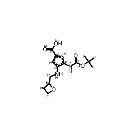 CC(C)(C)OC(=O)Nc1sc(C(=O)O)cc1NCC1CCO1